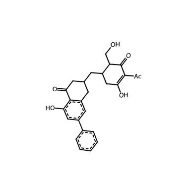 CC(=O)C1=C(O)CC(CC2CC(=O)c3c(O)cc(-c4ccccc4)cc3C2)C(CO)C1=O